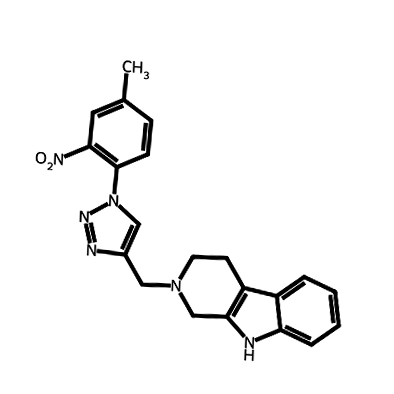 Cc1ccc(-n2cc(CN3CCc4c([nH]c5ccccc45)C3)nn2)c([N+](=O)[O-])c1